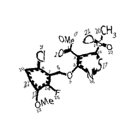 COC(=O)c1c(OCc2c(Cl)ccc(OC)c2F)nsc1S(C)(=O)=O